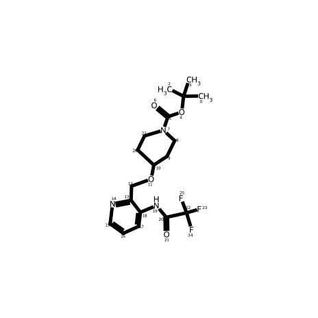 CC(C)(C)OC(=O)N1CCC(OCc2ncccc2NC(=O)C(F)(F)F)CC1